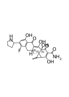 C=C1C2C(O)=C(C(N)=O)C(=O)[C@@]3(O)C(O)=C4C(=O)c5c(O)cc(C6CCCN6)c(F)c5C[C@H]4C[C@@]123